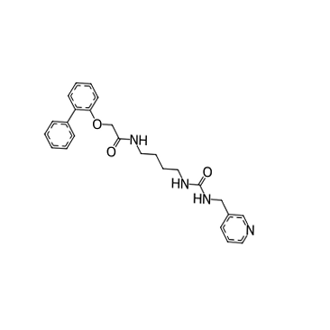 O=C(COc1ccccc1-c1ccccc1)NCCCCNC(=O)NCc1cccnc1